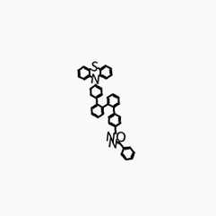 C1=C(c2ccccc2-c2ccccc2-c2ccc(-c3nnc(-c4ccccc4)o3)cc2)CCC(N2c3ccccc3Sc3ccccc32)=C1